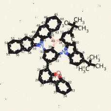 CC(C)(C)c1ccc2c(c1)c1cc(C(C)(C)C)cc3c1n2-c1cc(-c2cccc4c2oc2ccccc24)cc2c1B3c1c3ccccc3cc3c4cc5ccccc5cc4n-2c13